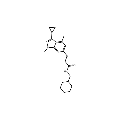 Cc1cc(OCC(=O)NCC2CCCCC2)nc2c1c(C1CC1)nn2C